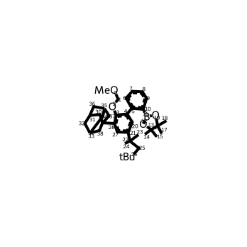 COCOc1c(-c2ccccc2B2OC(C)(C)C(C)(C)O2)cc(C(C)(C)CC(C)(C)C)cc1C12CC3CC(CC(C3)C1)C2